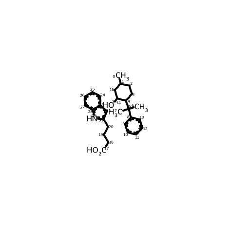 CC1CCC(C(C)(C)c2ccccc2)C(O)C1.O=C(O)CCCc1cc2ccccc2[nH]1